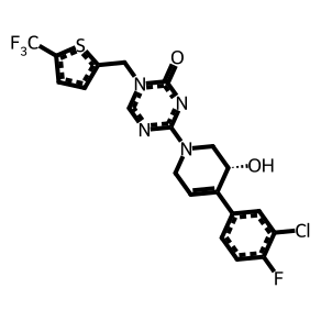 O=c1nc(N2CC=C(c3ccc(F)c(Cl)c3)[C@@H](O)C2)ncn1Cc1ccc(C(F)(F)F)s1